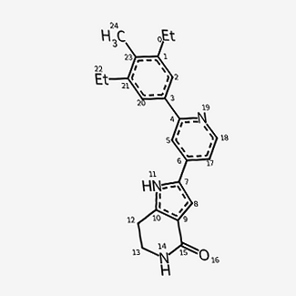 CCc1cc(-c2cc(-c3cc4c([nH]3)CCNC4=O)ccn2)cc(CC)c1C